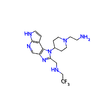 NCCN1CCC(n2c(CNCC(F)(F)F)nc3cnc4[nH]ccc4c32)CC1